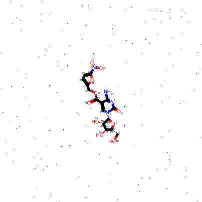 Nc1nc(=O)n([C@@H]2O[C@H](CO)[C@@H](O)[C@@H]2O)cc1C(=O)OCc1ccc([N+](=O)[O-])o1